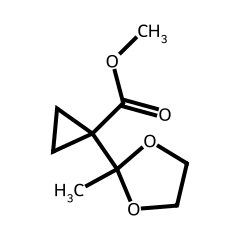 COC(=O)C1(C2(C)OCCO2)CC1